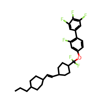 CCCC1CCC(/C=C/C2CCC(C(F)(F)Oc3ccc(-c4cc(F)c(F)c(F)c4)c(F)c3)CC2)CC1